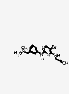 C#CCNc1nc(Nc2cccc(CN(C)C)c2)ncc1Br